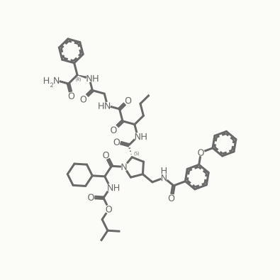 CCCC(NC(=O)[C@@H]1CC(CNC(=O)c2cccc(Oc3ccccc3)c2)CN1C(=O)C(NC(=O)OCC(C)C)C1CCCCC1)C(=O)C(=O)NCC(=O)N[C@@H](C(N)=O)c1ccccc1